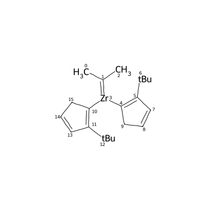 C[C](C)=[Zr]([C]1=C(C(C)(C)C)C=CC1)[C]1=C(C(C)(C)C)C=CC1